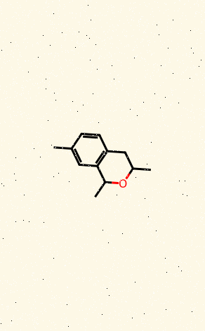 Cc1ccc2c(c1)C(C)OC(C)C2